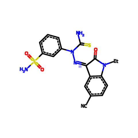 CCN1C(=O)/C(=N\N(C(N)=S)c2cccc(S(N)(=O)=O)c2)c2cc(C#N)ccc21